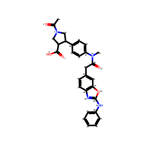 CC(=O)N1CC(C(=O)O)C(c2ccc(N(C)C(=O)Cc3ccc4nc(Nc5ccccc5)oc4c3)cc2)C1